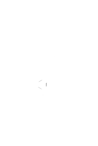 CCOCCOCOc1ccc(C(C)CC)cc1